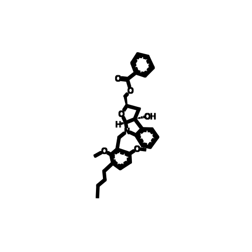 CCCCc1ccc(OC)c(CN2c3ccccc3[C@]3(O)C[C@H](COC(=O)c4ccccc4)O[C@H]23)c1OC